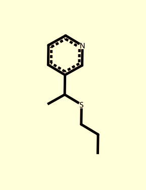 CCCSC(C)c1cccnc1